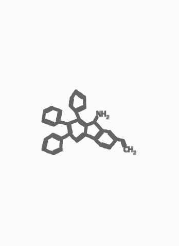 C=Cc1ccc2c(c1)C(N)c1c-2cc(-c2ccccc2)c(-c2ccccc2)c1-c1ccccc1